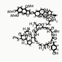 C#C[C@]1(O)CC[C@H]2[C@@H]3CCC4=CC(=O)CC[C@]4(C)[C@H]3CC[C@@]21C.CC[C@H](C)[C@@H]1NC(=O)[C@H](Cc2ccc(O)cc2)NC(=O)[C@@H](N)CSSC[C@@H](C(=O)N2CCC[C@H]2C(=O)N[C@@H](CC(C)C)C(=O)NCC(N)=O)NC(=O)[C@H](CC(N)=O)NC(=O)[C@H](CCC(N)=O)NC1=O.COc1ccc2c(OC)c3ccoc3nc2c1OC